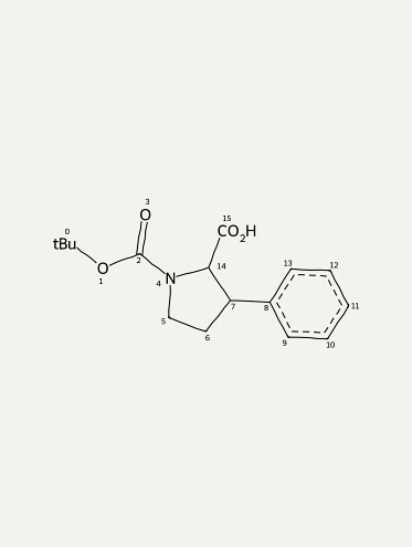 CC(C)(C)OC(=O)N1CCC(c2ccccc2)C1C(=O)O